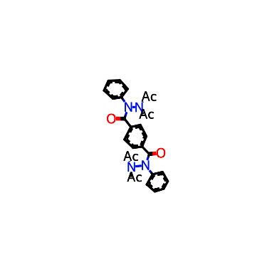 CC(=O)N(C(C)=O)N(C(=O)c1ccc(C(=O)N(c2ccccc2)N(C(C)=O)C(C)=O)cc1)c1ccccc1